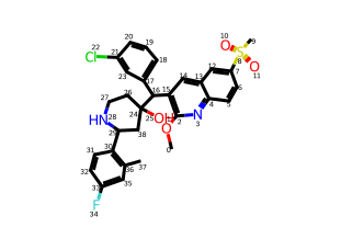 COc1nc2ccc(S(C)(=O)=O)cc2cc1C(c1cccc(Cl)c1)C1(O)CCNC(c2ccc(F)cc2C)C1